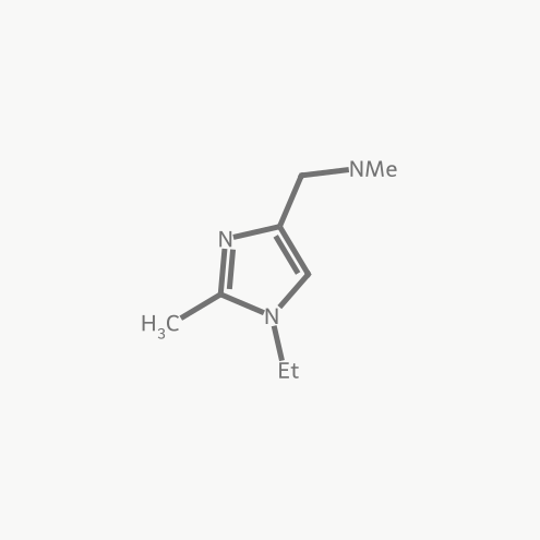 CCn1cc(CNC)nc1C